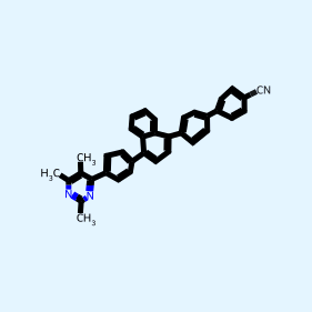 Cc1nc(C)c(C)c(-c2ccc(-c3ccc(-c4ccc(-c5ccc(C#N)cc5)cc4)c4ccccc34)cc2)n1